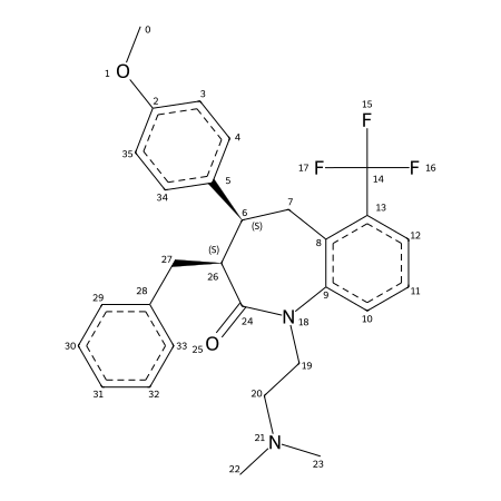 COc1ccc([C@H]2Cc3c(cccc3C(F)(F)F)N(CCN(C)C)C(=O)[C@H]2Cc2ccccc2)cc1